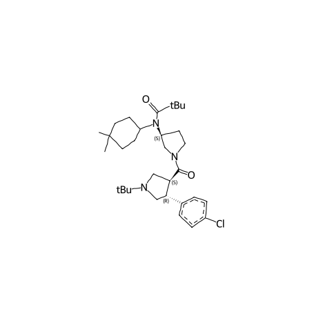 CC1(C)CCC(N(C(=O)C(C)(C)C)[C@H]2CCN(C(=O)[C@@H]3CN(C(C)(C)C)C[C@H]3c3ccc(Cl)cc3)C2)CC1